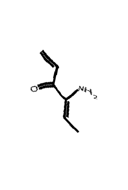 C=CC(=O)C(N)=CC